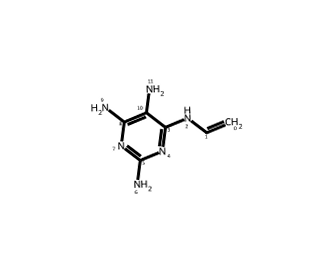 C=CNc1nc(N)nc(N)c1N